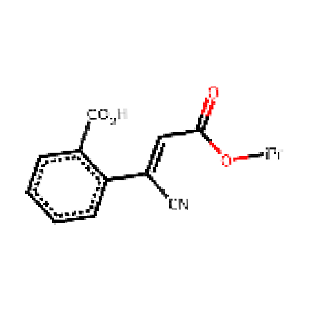 CC(C)OC(=O)C=C(C#N)c1ccccc1C(=O)O